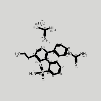 C.CCCc1cnc(-c2ccccc2)c(-c2ccccc2S(N)(=O)=O)c1.NC(O)=S.NC(O)=S.O